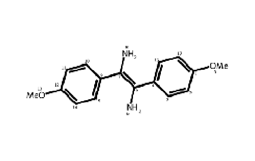 COc1ccc(C(N)=C(N)c2ccc(OC)cc2)cc1